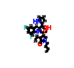 CCCCN1C[C@@H](C(=O)N[C@@H](Cc2cc(F)cc(F)c2)[C@H](O)[C@H]2CCCN2)[C@H](CC)C1=O